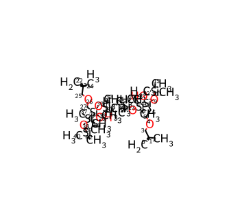 C=C(C)COCC[Si](O)(O[Si](C)(C)C)[Si](C)(C)O[Si](C)(C)C.C=C(C)COC[Si](O)(O[Si](C)(C)C)[Si](C)(C)O[Si](C)(C)C